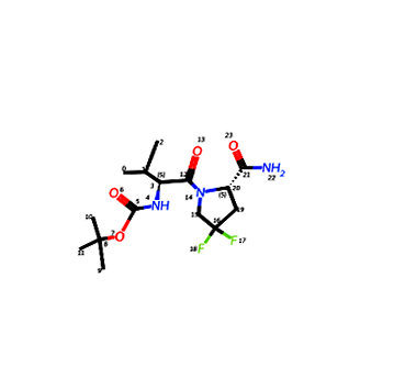 CC(C)[C@H](NC(=O)OC(C)(C)C)C(=O)N1CC(F)(F)C[C@H]1C(N)=O